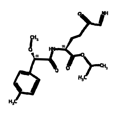 CO[C@H](C(=O)N[C@@H](CCC(=O)C=N)C(=O)OC(C)C)c1ccc(C)cc1